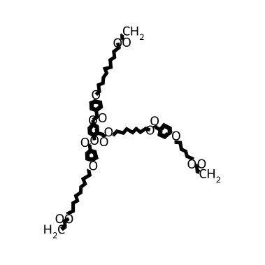 C=CC(=O)OCCCCCCCCCCCOc1ccc(C(=O)Oc2ccc(OC(=O)c3ccc(OCCCCCCCCCCCOC(=O)C=C)cc3)c(C(=O)OCCCCCCCCOC(=O)c3ccc(OCCCCCCOC(=O)C=C)cc3)c2)cc1